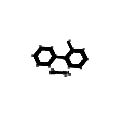 Cc1ccccc1-c1ccccc1.NO